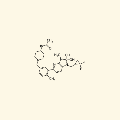 CC(=O)NC1CCN(Cc2ccc(C)c(-c3ccc4c(n3)N(C)S(O)(O)N4CC3CC3(F)F)c2)CC1